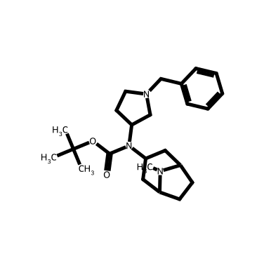 CN1C2CCC1CC(N(C(=O)OC(C)(C)C)C1CCN(Cc3ccccc3)C1)C2